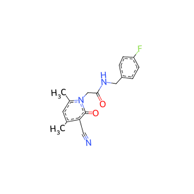 Cc1cc(C)n(CC(=O)NCc2ccc(F)cc2)c(=O)c1C#N